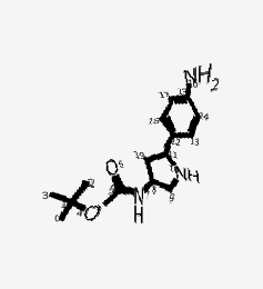 CC(C)(C)OC(=O)NC1CNC(c2ccc(N)cc2)C1